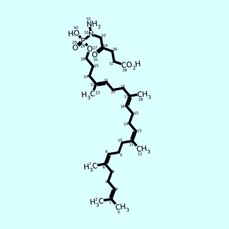 CC(C)=CCCC(C)=CCCC(C)=CCCC=C(C)CCC=C(C)CCCOP(=O)(O)N(N)CC(=O)CCC(=O)O